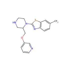 FC(F)(F)c1ccc2nc(N3CCNCC3COc3cccnc3)sc2c1